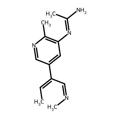 C/C=C(\C=N/C)c1cnc(C)c(/N=C(\C)N)c1